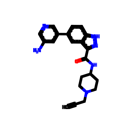 C#CCN1CCC(NC(=O)c2n[nH]c3ccc(-c4cncc(N)c4)cc23)CC1